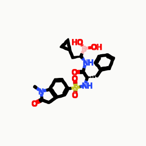 CN1C(=O)Cc2cc(S(=O)(=O)N[C@@H](Cc3ccccc3)C(=O)N[C@@H](CC3CC3)B(O)O)ccc21